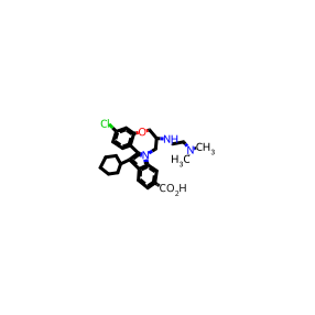 CN(C)CCNC1COc2cc(Cl)ccc2-c2c(C3CCCCC3)c3ccc(C(=O)O)cc3n2C1